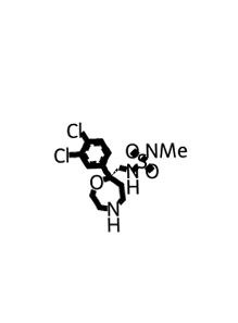 CNS(=O)(=O)NC[C@]1(c2ccc(Cl)c(Cl)c2)CCNCCO1